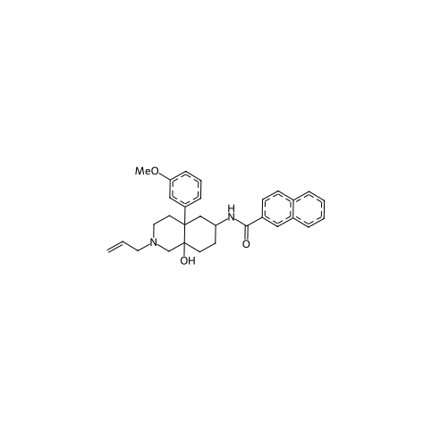 C=CCN1CCC2(c3cccc(OC)c3)CC(NC(=O)c3ccc4ccccc4c3)CCC2(O)C1